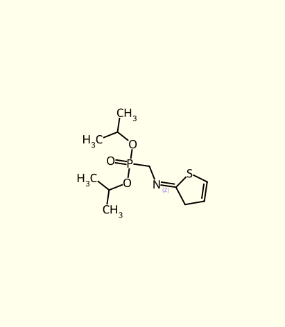 CC(C)OP(=O)(C/N=C1/CC=CS1)OC(C)C